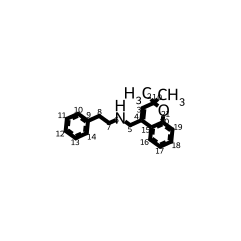 CC1(C)C=C(CNCCc2ccccc2)c2ccccc2O1